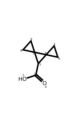 O=C(O)C1C2(CC2)C12CC2